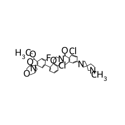 COC(=O)c1cc(F)c(-c2cccc3c2OCN(C(=O)c2c(Cl)cc(N4CC5(CCN(C)C5)C4)cc2Cl)C3)cc1N1C2CCC1COC2